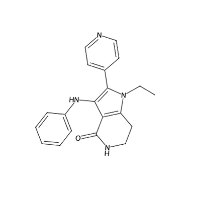 CCn1c2c(c(Nc3ccccc3)c1-c1ccncc1)C(=O)NCC2